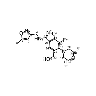 Cc1cc(CNc2noc3c(F)c(N4C[C@@H](C)O[C@@H](C)C4)c(CO)cc23)no1